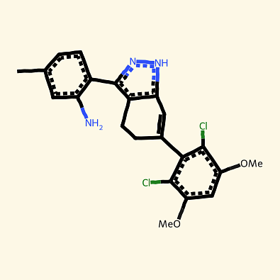 COc1cc(OC)c(Cl)c(C2=Cc3[nH]nc(-c4ccc(C)cc4N)c3CC2)c1Cl